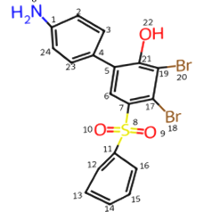 Nc1ccc(-c2cc(S(=O)(=O)c3ccccc3)c(Br)c(Br)c2O)cc1